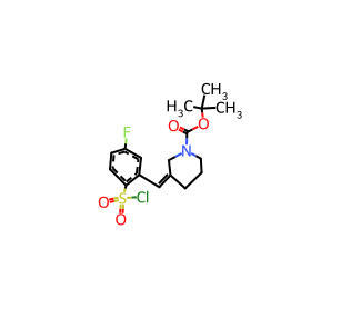 CC(C)(C)OC(=O)N1CCCC(=Cc2cc(F)ccc2S(=O)(=O)Cl)C1